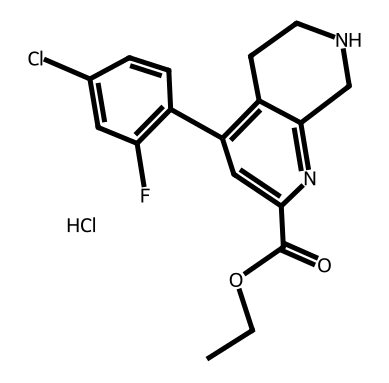 CCOC(=O)c1cc(-c2ccc(Cl)cc2F)c2c(n1)CNCC2.Cl